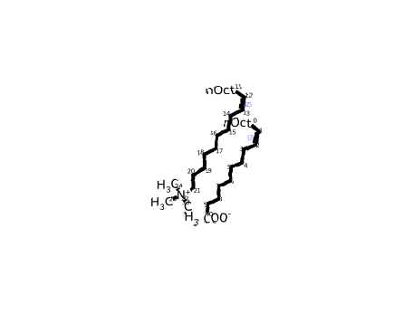 CCCCCCCC/C=C\CCCCCCCC(=O)[O-].CCCCCCCC/C=C\CCCCCCCC[N+](C)(C)C